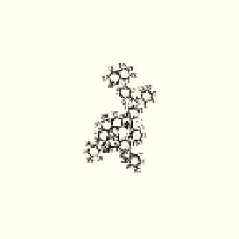 c1ccc(N(c2ccc3c(c2)-c2cccc4cccc-3c24)c2ccc3c(c2)c2cc4ccc5cc6c7ccccc7[nH]c6c6c5c4c(c2n3-c2ccccc2)n6-c2ccc3c(c2)sc2ccccc23)cc1